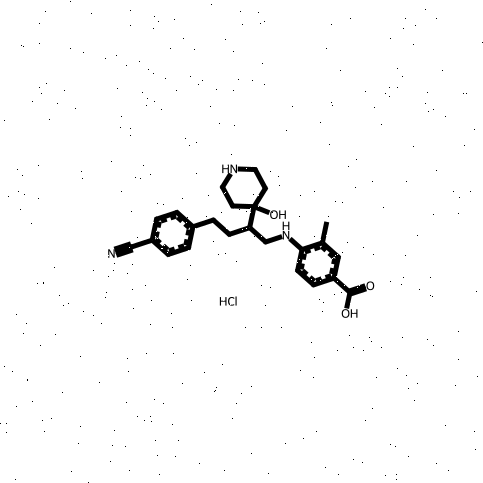 Cc1cc(C(=O)O)ccc1NCC(CCc1ccc(C#N)cc1)C1(O)CCNCC1.Cl